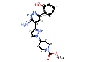 CC(C)(C)OC(=O)N1CCC(n2ccc(-c3cc(-c4ccccc4O)nnc3N)n2)CC1